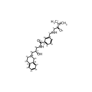 CN(C)C(=O)CNCc1cccc(C(=O)NCC(O)CN2CCc3ccccc3C2)c1